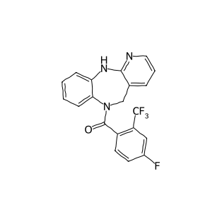 O=C(c1ccc(F)cc1C(F)(F)F)N1Cc2cccnc2Nc2ccccc21